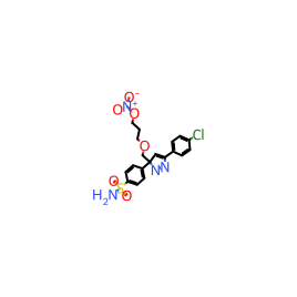 NS(=O)(=O)c1ccc(C2(COCCCO[N+](=O)[O-])C=C(c3ccc(Cl)cc3)N=N2)cc1